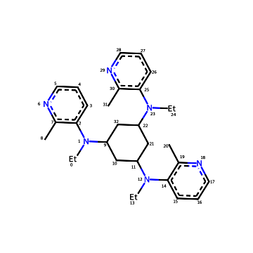 CCN(c1cccnc1C)C1CC(N(CC)c2cccnc2C)CC(N(CC)c2cccnc2C)C1